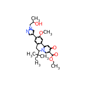 CCOC(=O)c1cn2c(cc1=O)-c1cc(OC)c(-c3cnn(CC(C)O)c3)cc1CC2C(C)(C)C